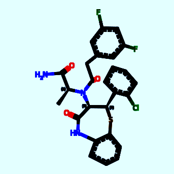 C[C@@H](C(N)=O)N(C(=O)Cc1cc(F)cc(F)c1)[C@@H]1C(=O)Nc2ccccc2S[C@@H]1c1ccccc1Cl